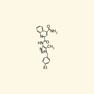 CCc1ccc(Cn2nnc(NC(=O)c3cc(C(N)=O)c4ccccc4n3)c2C)cc1